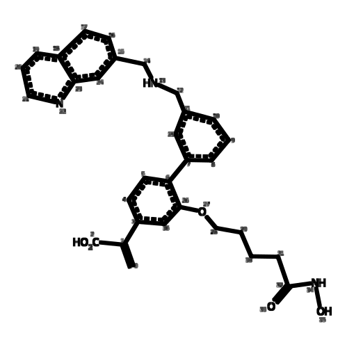 C=C(C(=O)O)c1ccc(-c2cccc(CNCc3ccc4cccnc4c3)c2)c(OCCCCC(=O)NO)c1